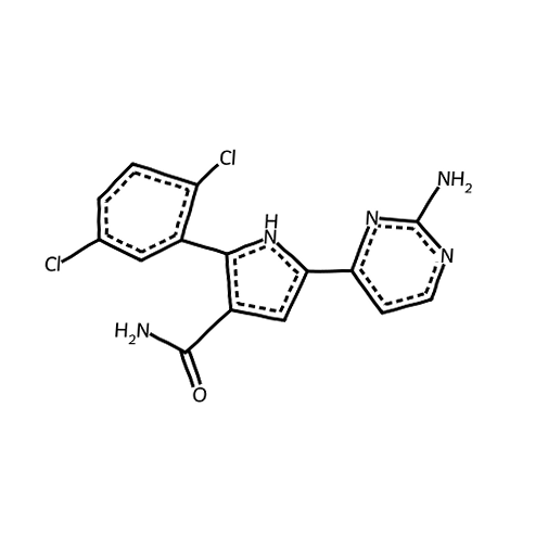 NC(=O)c1cc(-c2ccnc(N)n2)[nH]c1-c1cc(Cl)ccc1Cl